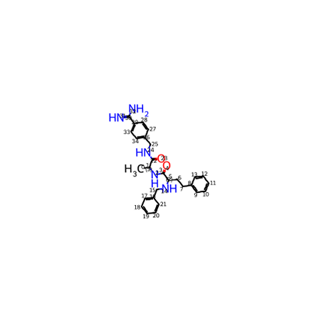 C[C@H](NC(=O)[C@@H](CCc1ccccc1)NCc1ccccc1)C(=O)NCc1ccc(C(=N)N)cc1